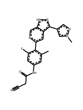 Cc1cc(NC(=O)CC#N)cc(F)c1-c1cc2c(-c3cnn(C)c3)n[nH]c2cn1